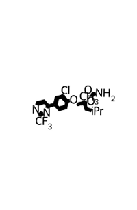 CC(C)C[C@@](C)(COc1ccc(-c2ccnc(C(F)(F)F)n2)cc1Cl)OC(N)=O